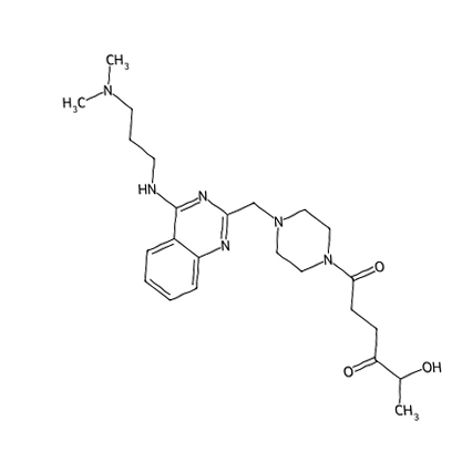 CC(O)C(=O)CCC(=O)N1CCN(Cc2nc(NCCCN(C)C)c3ccccc3n2)CC1